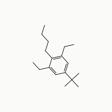 CCC[CH]c1c(CC)cc(C(C)(C)C)cc1CC